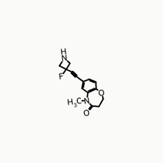 CN1C(=O)CCOc2ccc(C#CC3(F)CNC3)cc21